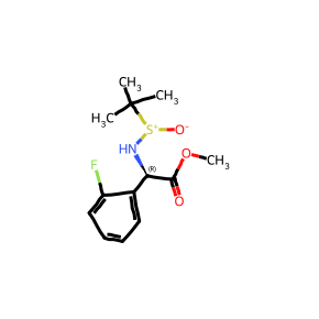 COC(=O)[C@H](N[S+]([O-])C(C)(C)C)c1ccccc1F